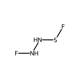 FNNSF